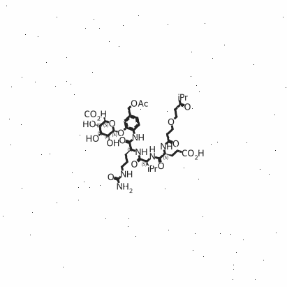 CC(=O)OCc1ccc(NC(=O)[C@H](CCCNC(N)=O)NC(=O)[C@@H](NC(=O)[C@H](CCC(=O)O)NC(=O)CCOCCC(=O)C(C)C)C(C)C)c(O[C@@H]2O[C@H](C(=O)O)[C@@H](O)[C@H](O)[C@H]2O)c1